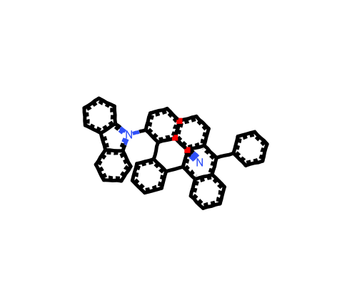 N#Cc1cccc(-n2c3ccccc3c3ccccc32)c1-c1ccccc1-c1c2ccccc2c(-c2ccccc2)c2ccccc12